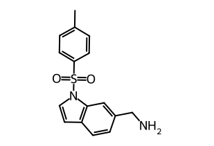 Cc1ccc(S(=O)(=O)n2ccc3ccc(CN)cc32)cc1